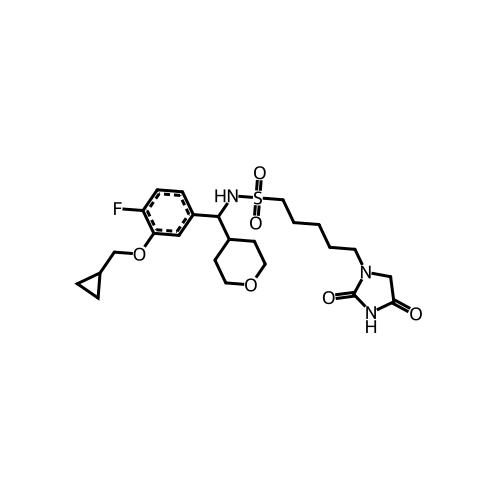 O=C1CN(CCCCCS(=O)(=O)NC(c2ccc(F)c(OCC3CC3)c2)C2CCOCC2)C(=O)N1